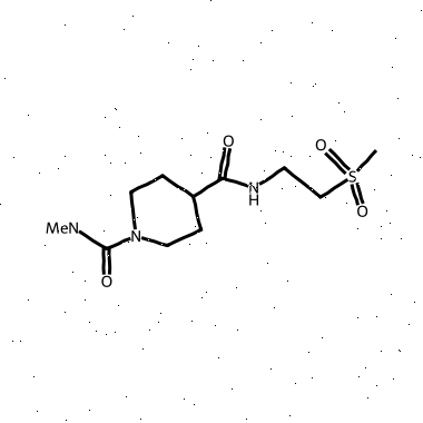 CNC(=O)N1CCC(C(=O)NCCS(C)(=O)=O)CC1